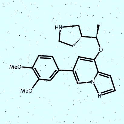 COc1ccc(-c2cc(O[C@H](C)[C@@H]3CCNC3)c3ccnn3c2)cc1OC